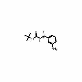 C[C@@H](NC(=O)OC(C)(C)C)c1cccc(N)c1